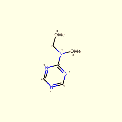 COCN(OC)c1ncncn1